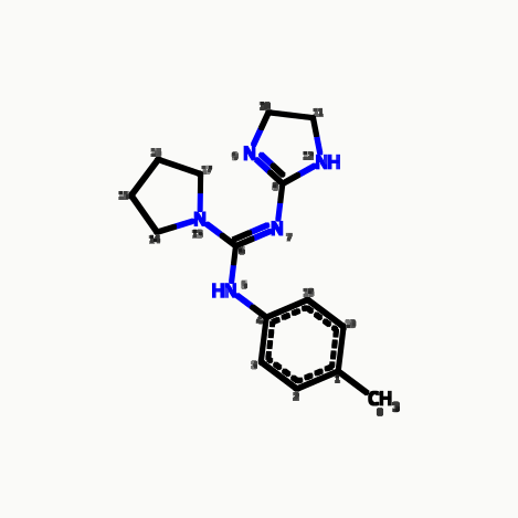 Cc1ccc(NC(=NC2=NCCN2)N2CCCC2)cc1